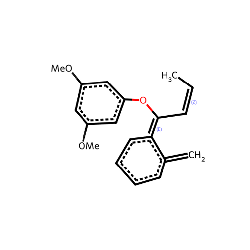 C=c1cccc/c1=C(/C=C\C)Oc1cc(OC)cc(OC)c1